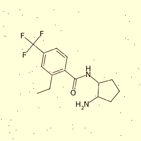 CCc1cc(C(F)(F)F)ccc1C(=O)NC1CCCC1N